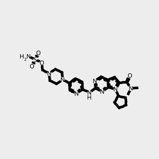 CN(C)C(=O)c1cc2cnc(Nc3ccc(N4CCN(COS(N)(=O)=O)CC4)cn3)nc2n1C1CCCC1